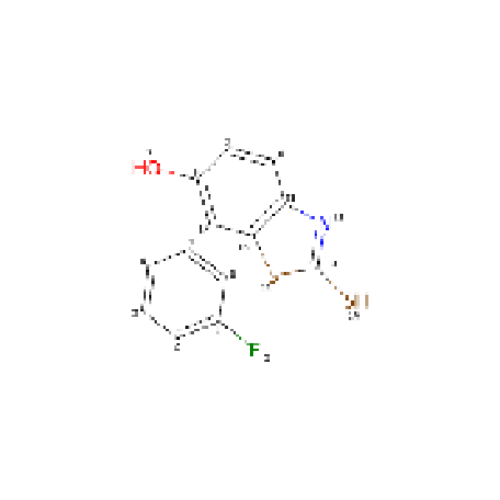 Fc1ccccc1.Oc1ccc2nc(S)sc2c1